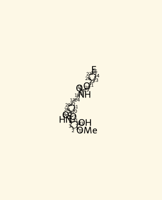 COc1ccc(NS(=O)(=O)c2ccc(CCCNC(=O)COCc3ccc(F)cc3)cc2)cc1O